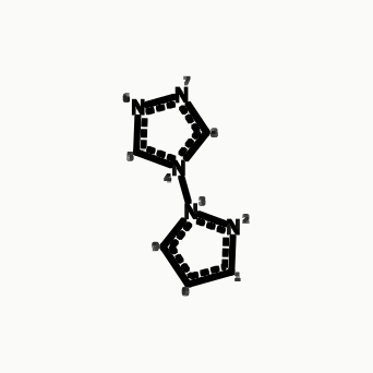 c1cnn(-n2cnnc2)c1